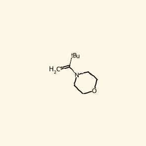 C=C(N1CCOCC1)C(C)(C)C